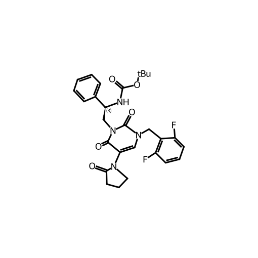 CC(C)(C)OC(=O)N[C@@H](Cn1c(=O)c(N2CCCC2=O)cn(Cc2c(F)cccc2F)c1=O)c1ccccc1